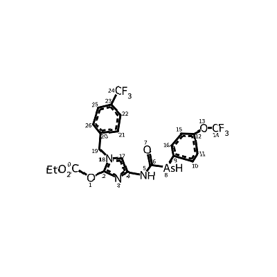 CCOC(=O)Oc1nc(NC(=O)[AsH]c2ccc(OC(F)(F)F)cc2)cn1Cc1ccc(C(F)(F)F)cc1